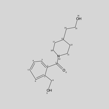 O=C(c1ccccc1CO)N1CCC(CCO)CC1